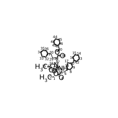 CCOC(=O)[C@H](Cc1ccc(-c2ccccc2)cc1)NC(=O)N(CC(C)C)CC(CCc1ccccc1)C(=O)OCc1ccccc1